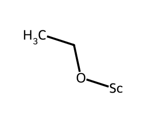 CC[O][Sc]